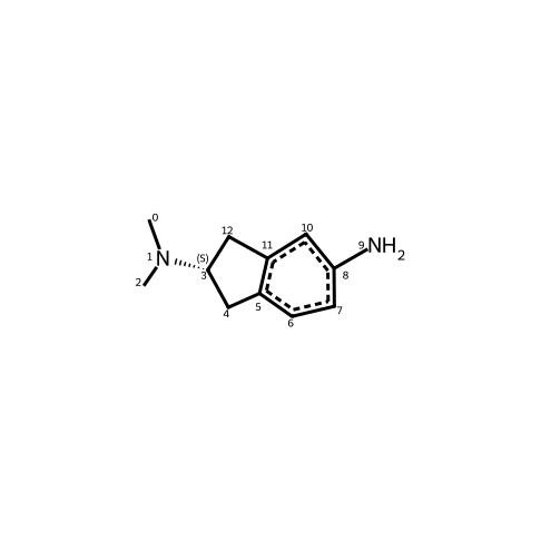 CN(C)[C@H]1Cc2ccc(N)cc2C1